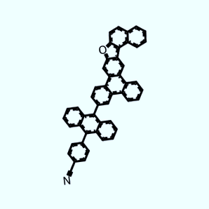 N#Cc1ccc(-c2c3ccccc3c(-c3ccc4c(c3)c3ccccc3c3cc5c(cc43)oc3ccc4ccccc4c35)c3ccccc23)cc1